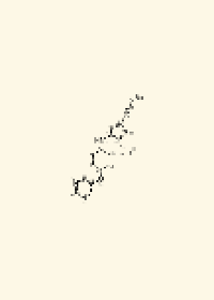 CC(C)(C)C#Cc1cc(N[C@H]2CC[C@H](Oc3cncnc3)CC2)c(C(=O)O)s1